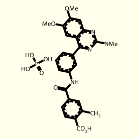 CNc1nc(-c2cccc(NC(=O)c3ccc(C(=O)O)c(C)c3)c2)c2cc(OC)c(OC)cc2n1.O=P(O)(O)O